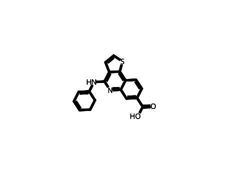 O=C(O)c1ccc2c(c1)nc(NC1=CC=CCC1)c1ccsc12